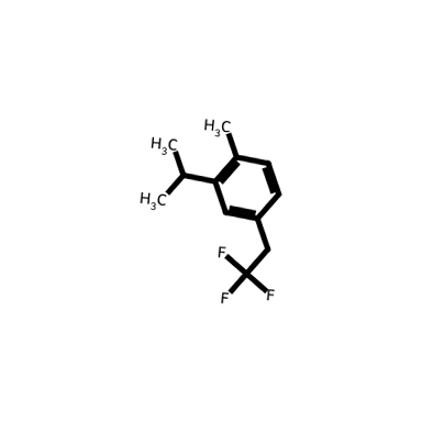 Cc1ccc(CC(F)(F)F)cc1C(C)C